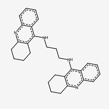 c1ccc2c(NCCCNc3c4c(nc5ccccc35)CCCC4)c3c(nc2c1)CCCC3